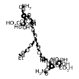 CC/C(C)=N/OCCOCCOCCN(CCOCCOCCn1cc(CNC(=O)c2cc(COC(N)=O)ccc2O[C@@H]2O[C@H](C(=O)O)[C@@H](O)[C@H](O)[C@H]2O)nn1)CCOCCOCCn1cc(CNC(=O)c2cc(COC(N)=O)ccc2O[C@@H]2O[C@H](C(=O)O)[C@@H](O)[C@H](O)[C@H]2O)nn1